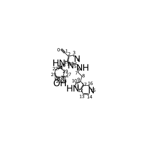 C#Cc1cnc(NCCc2c[nH]c3ccncc23)nc1N[C@@H]1CC[C@H](O)C(C)(C)C1